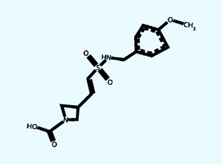 COc1ccc(CNS(=O)(=O)C=CC2CN(C(=O)O)C2)cc1